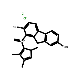 [CH2]=[Zr+2]([C]1=C(C)C(C)=CC1C)[c]1c(C(C)(C)C)ccc2c1Cc1cc(C(C)(C)C)ccc1-2.[Cl-].[Cl-]